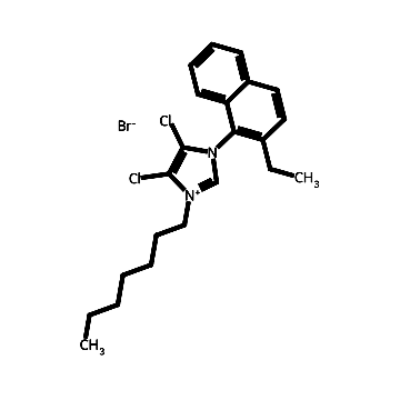 CCCCCCC[n+]1cn(-c2c(CC)ccc3ccccc23)c(Cl)c1Cl.[Br-]